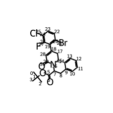 CC(C)(C)OC(=O)C(Cc1ccccc1)N1CCC(c2c(Br)ccc(Cl)c2F)=CC1=O